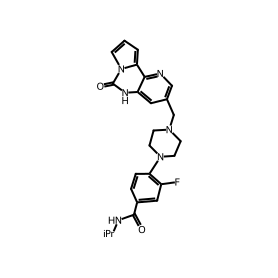 CC(C)NC(=O)c1ccc(N2CCN(Cc3cnc4c(c3)[nH]c(=O)n3cccc43)CC2)c(F)c1